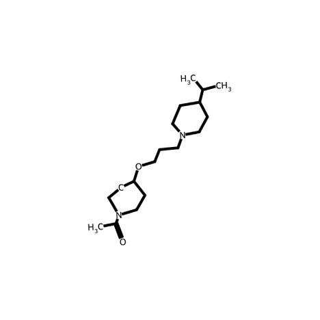 CC(=O)N1CCC(OCCCN2CCC(C(C)C)CC2)CC1